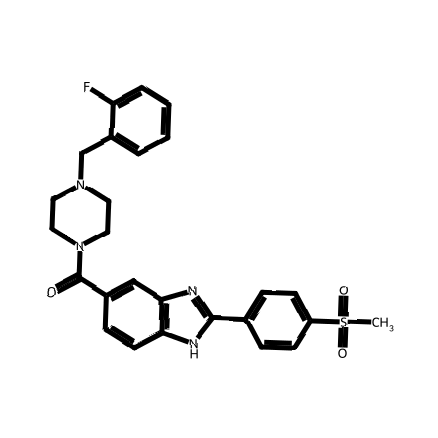 CS(=O)(=O)c1ccc(-c2nc3cc(C(=O)N4CCN(Cc5ccccc5F)CC4)ccc3[nH]2)cc1